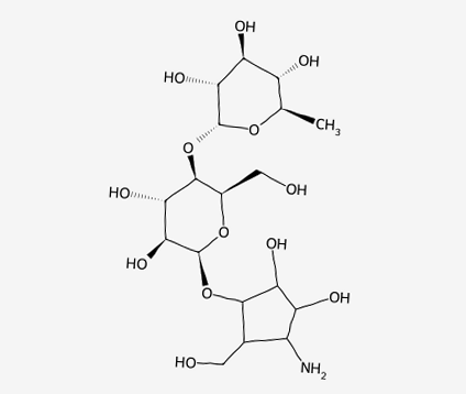 C[C@H]1O[C@H](O[C@@H]2[C@@H](O)[C@H](O)[C@H](OC3C(O)C(O)C(N)C3CO)O[C@@H]2CO)[C@H](O)[C@@H](O)[C@@H]1O